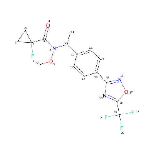 CON(C(=O)C1(F)CC1)C(C)c1ccc(-c2noc(C(F)(F)F)n2)cc1